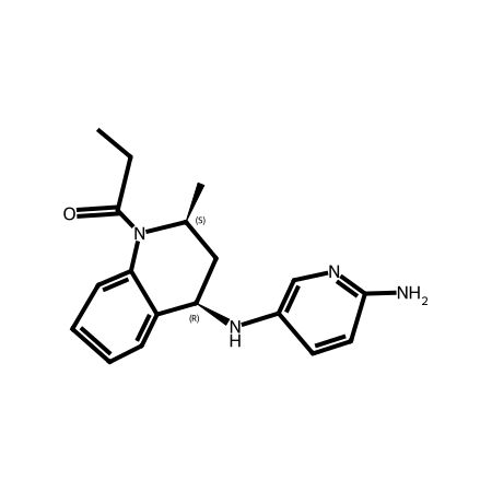 CCC(=O)N1c2ccccc2[C@H](Nc2ccc(N)nc2)C[C@@H]1C